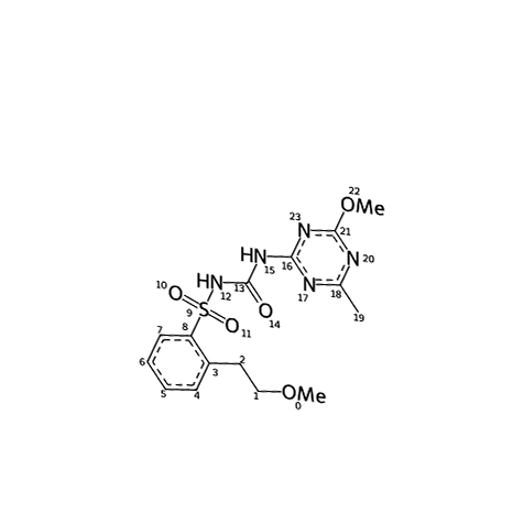 COCCc1ccccc1S(=O)(=O)NC(=O)Nc1nc(C)nc(OC)n1